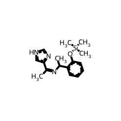 CC(=NC(C)c1ccccc1O[Si](C)(C)C)c1c[nH]cn1